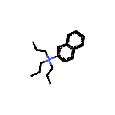 CCC[N+](CCC)(CCC)c1ccc2ccccc2c1